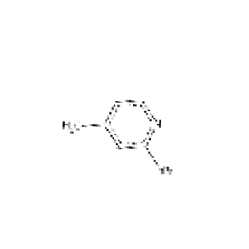 CCCc1[c]c(C)ccn1